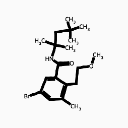 COCCc1c(C)cc(Br)cc1C(=O)NC(C)(C)CC(C)(C)C